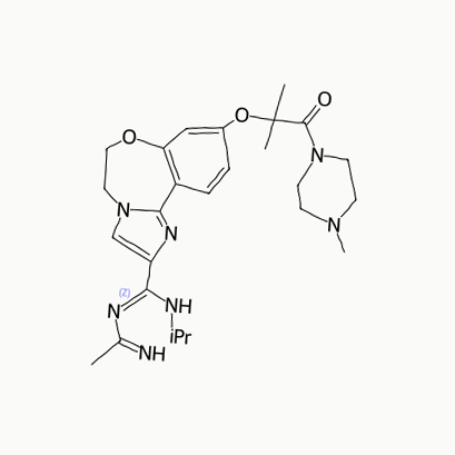 CC(=N)/N=C(\NC(C)C)c1cn2c(n1)-c1ccc(OC(C)(C)C(=O)N3CCN(C)CC3)cc1OCC2